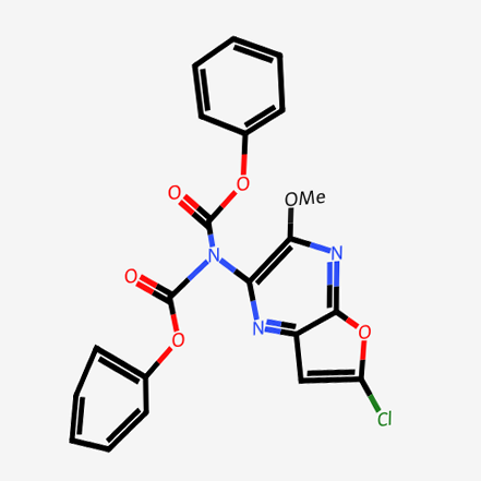 COc1nc2oc(Cl)cc2nc1N(C(=O)Oc1ccccc1)C(=O)Oc1ccccc1